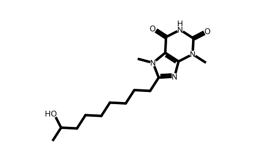 CC(O)CCCCCCCc1nc2c(c(=O)[nH]c(=O)n2C)n1C